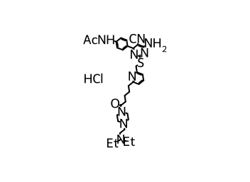 CCN(CC)CCN1CCN(C(=O)CCCCc2cccc(CSc3nc(N)c(C#N)c(-c4ccc(NC(C)=O)cc4)n3)n2)CC1.Cl